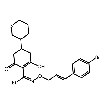 CCC(=NOCC=Cc1ccc(Br)cc1)C1=C(O)CC(C2CCCSC2)CC1=O